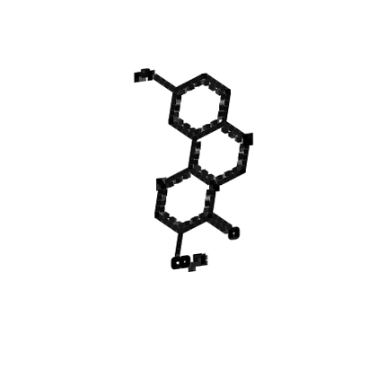 CCCc1ccc2ncn3c(=O)c(C(=O)OCC)cnc3c2c1